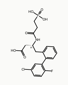 O=C(O)C[C@@H](Cc1ccccc1-c1cc(Cl)ccc1F)NC(=O)CCP(=O)(O)O